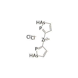 C1=C[C]([Zr+2][C]2=P[AsH]C=C2)=P[AsH]1.[Cl-].[Cl-]